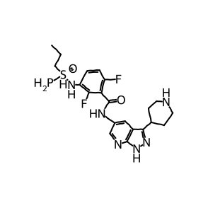 CCC[SH](=O)(P)Nc1ccc(F)c(C(=O)Nc2cnc3[nH]nc(C4CCNCC4)c3c2)c1F